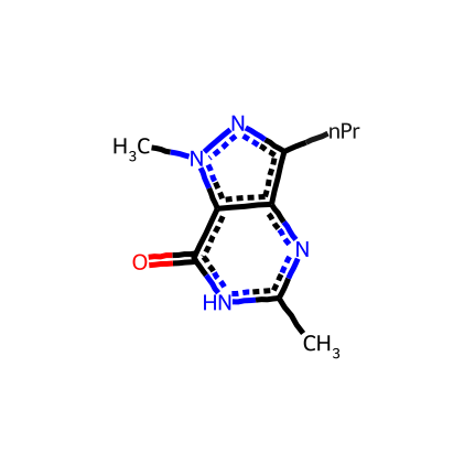 CCCc1nn(C)c2c(=O)[nH]c(C)nc12